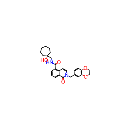 O=C(NCC1(O)CCCCCC1)c1cccc2c(=O)n(Cc3ccc4c(c3)OCCO4)ccc12